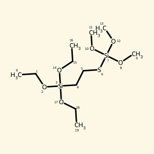 CCO[Si](CCS[Si](OC)(OC)OC)(OCC)OCC